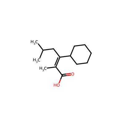 CC(C(=O)O)=C(CC(C)C)C1CCCCC1